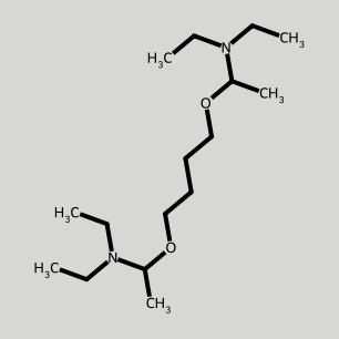 CCN(CC)C(C)OCCCCOC(C)N(CC)CC